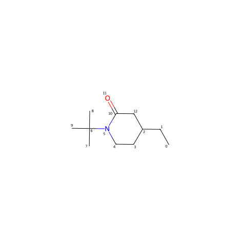 CCC1CCN(C(C)(C)C)C(=O)C1